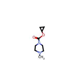 CN1CCN(C(=O)OC2CC2)CC1